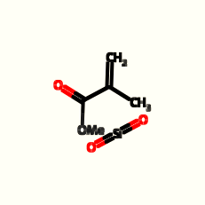 C=C(C)C(=O)OC.O=[Si]=O